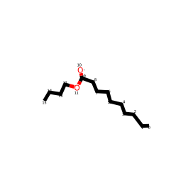 CCCCCCCCCC([O])OCCCC